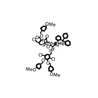 COc1ccc(COC(=O)C2=C(CCl)CS[C@H]3C(NC(=O)/C(=N\OCc4cc(Cl)c(OCc5ccc(OC)cc5)c(OCc5ccc(OC)cc5)c4Cl)c4csc(NC(c5ccccc5)(c5ccccc5)c5ccccc5)n4)C(=O)N23)cc1